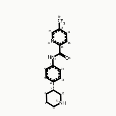 O=C(Nc1ccc([C@H]2CCCNC2)cc1)c1ccc(C(F)(F)F)cn1